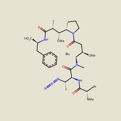 CC[C@H](C)[C@@H]([C@@H](CC(=O)N1CCC[C@H]1[C@H](OC)[C@@H](C)C(=O)N[C@@H](Cc1ccccc1)C(=O)O)OC)N(C)C(=O)[C@@H](NC(=O)[C@@H](NC)C(C)C)[C@H](C)N=[N+]=[N-]